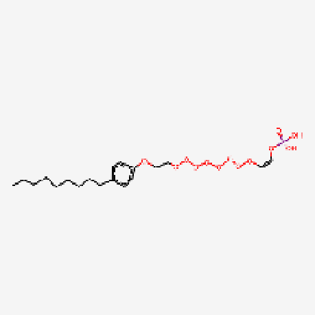 CCCCCCCCCc1ccc(OCCOOOOOOOO/C=C\OP(=O)(O)O)cc1